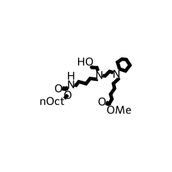 CCCCCCCCOC(=O)NCCCCCN(CCO)CCN(CCCCCC(=O)OC)C1CCCCC1